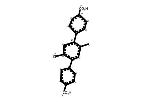 Cc1cc(-c2ccc(C(=O)O)cc2)c(Cl)cc1-c1ccc(C(=O)O)cc1